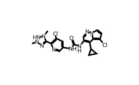 CN1N=C(c2ncc(NC(=O)Nc3cnn4ccc(Cl)c4c3C3CC3)cc2Cl)N(C)N1